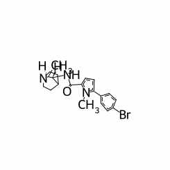 C[C@H]1[C@H](NC(=O)c2ccc(-c3ccc(Br)cc3)n2C)C2CCN1CC2